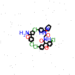 NC(=O)C1(c2ccc(Cl)cc2)CCCC1.O=C(CNC(=O)C1c2cc(Cl)ccc2Oc2ccc(Cl)cc21)NC1CC2CCC(C1)N2Cc1ccc(Cl)cc1